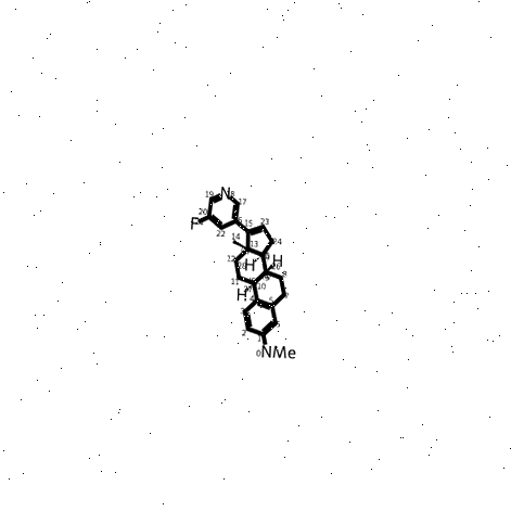 CNc1ccc2c(c1)CC[C@@H]1[C@@H]2CC[C@]2(C)C(c3cncc(F)c3)=CC[C@@H]12